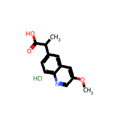 COc1cnc2ccc(C(C)C(=O)O)cc2c1.Cl